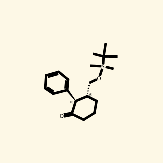 CC(C)(C)[Si](C)(C)OC[C@@H]1CCCC(=O)[C@H]1c1ccccc1